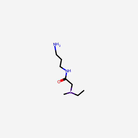 CCI(C)CC(=O)NCCCN